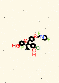 Oc1cc(C2=C(C3CC3)c3c(ccc(O)c3F)OC2c2ccc(OC[C@H](F)N3CCC(F)CC3)cc2)ccc1Cl